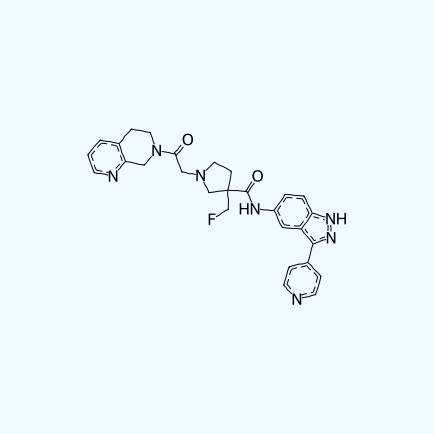 O=C(CN1CCC(CF)(C(=O)Nc2ccc3[nH]nc(-c4ccncc4)c3c2)C1)N1CCc2cccnc2C1